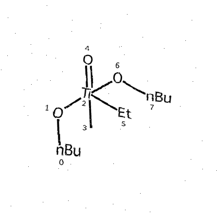 CCCC[O][Ti]([CH3])(=[O])([CH2]C)[O]CCCC